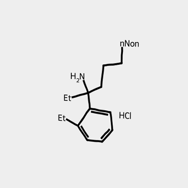 CCCCCCCCCCCCC(N)(CC)c1ccccc1CC.Cl